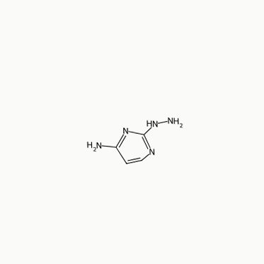 NNc1nccc(N)n1